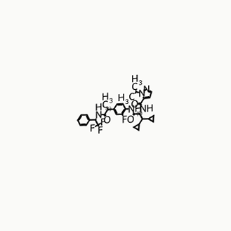 CC(C)n1nccc1C(=O)N[C@H](C(=O)Nc1ccc([C@H](C)C(=O)NC(c2ccccc2)C(F)(F)F)cc1F)C(C1CC1)C1CC1